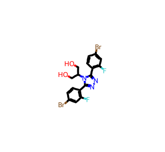 OCC(CO)n1c(-c2ccc(Br)cc2F)nnc1-c1ccc(Br)cc1F